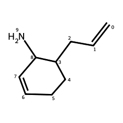 C=CCC1CCC=CC1N